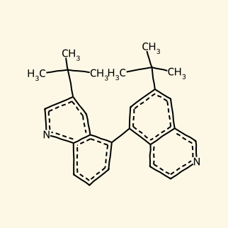 CC(C)(C)c1cc(-c2cccc3ncc(C(C)(C)C)cc23)c2ccncc2c1